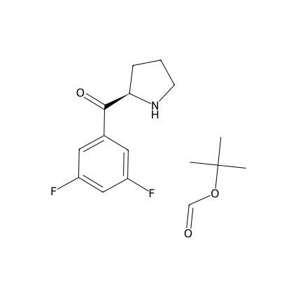 CC(C)(C)OC=O.O=C(c1cc(F)cc(F)c1)[C@H]1CCCN1